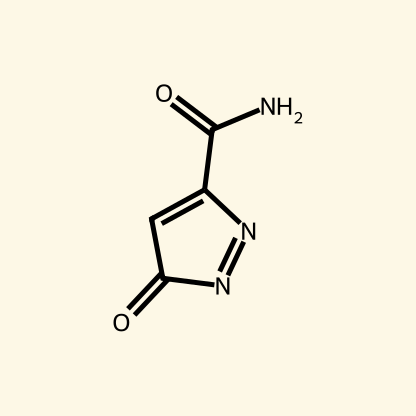 NC(=O)C1=CC(=O)N=N1